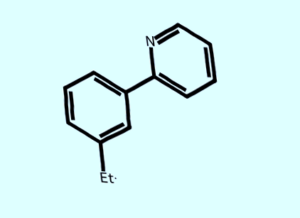 C[CH]c1cccc(-c2ccccn2)c1